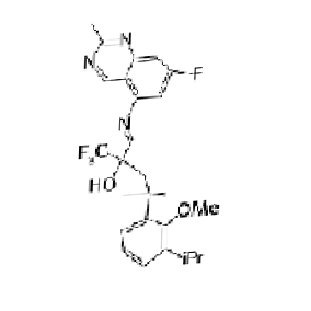 COc1c(C(C)C)cccc1C(C)(C)CC(O)(C=Nc1cc(F)cc2nc(C)ncc12)C(F)(F)F